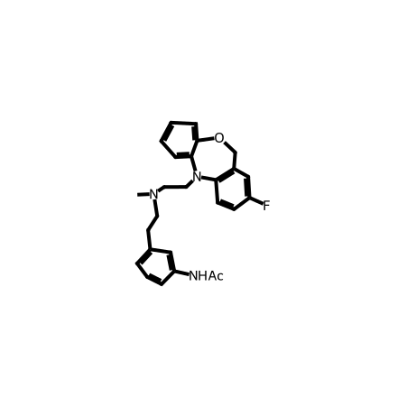 CC(=O)Nc1cccc(CCN(C)CCN2c3ccc(F)cc3COc3ccccc32)c1